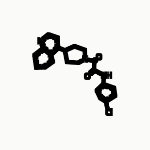 O=C(Nc1ccc(Cl)cc1)C(=O)N1CCC(c2ccnc3ccccc23)CC1